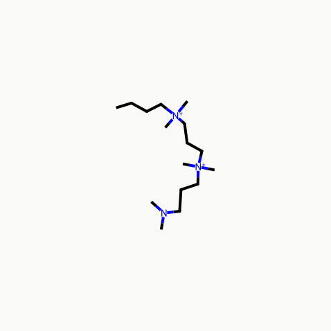 CCCC[N+](C)(C)CCC[N+](C)(C)CCCN(C)C